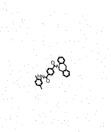 Cc1ccc(C)c(NC(=O)c2ccc(C(=O)N3Cc4ccccc4Cc4ccccc43)cc2)c1